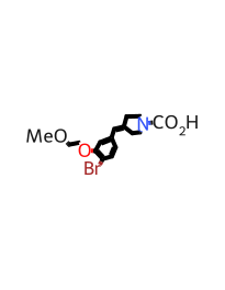 COCCOc1cc(C=C2CCN(C(=O)O)CC2)ccc1Br